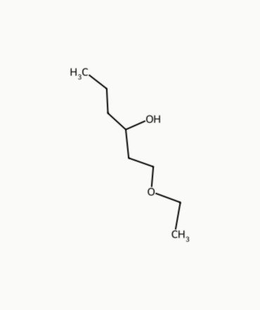 CCCC(O)CCOCC